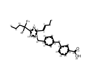 CC/C=C/c1nc(C(F)(F)CCC)nn1Cc1ccc(Cc2cccc(C(=O)O)c2)cc1